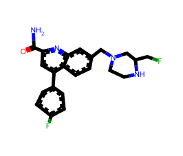 NC(=O)c1cc(-c2ccc(F)cc2)c2ccc(CN3CCNC(CF)C3)cc2n1